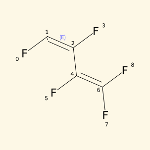 F/[C]=C(/F)C(F)=C(F)F